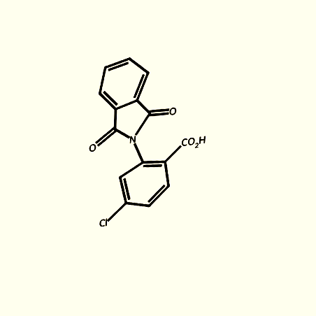 O=C(O)c1ccc(Cl)cc1N1C(=O)c2ccccc2C1=O